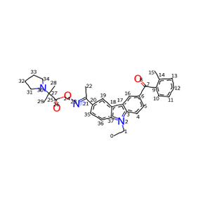 CCn1c2ccc(C(=O)c3ccccc3C)cc2c2cc(/C(C)=N/OC(=O)C(C)(C)N3CCCC3)ccc21